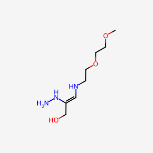 COCCOCCN/C=C(/CO)NN